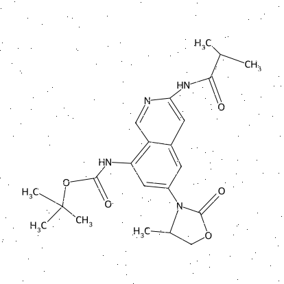 CC(C)C(=O)Nc1cc2cc(N3C(=O)OCC3C)cc(NC(=O)OC(C)(C)C)c2cn1